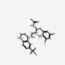 CC(=O)N[C@@H](Cc1cc(F)cc(F)c1)[C@H](O)CN[C@H]1CCNc2ccc(C(C)(C)C)cc21